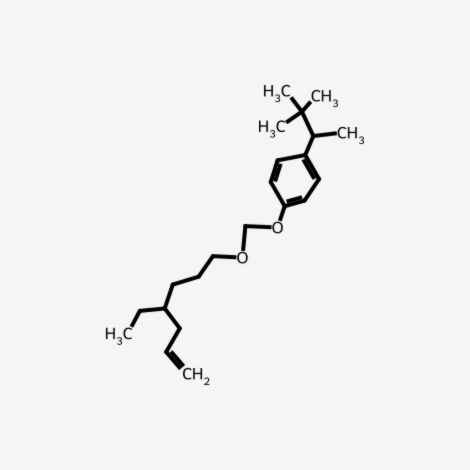 C=CCC(CC)CCCOCOc1ccc(C(C)C(C)(C)C)cc1